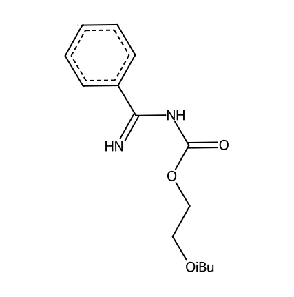 CC(C)COCCOC(=O)NC(=N)c1cc[c]cc1